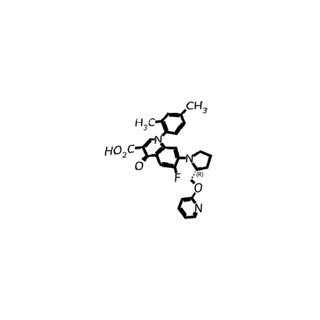 Cc1ccc(-n2cc(C(=O)O)c(=O)c3cc(F)c(N4CCC[C@@H]4COc4ccccn4)cc32)c(C)c1